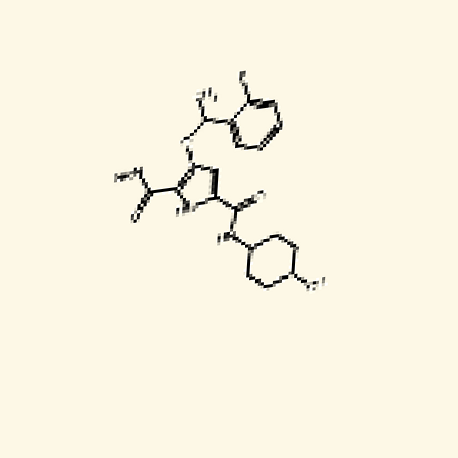 CNC(=O)c1[nH]c(C(=O)NC2CCC(O)CC2)cc1OC(C)c1ccccc1F